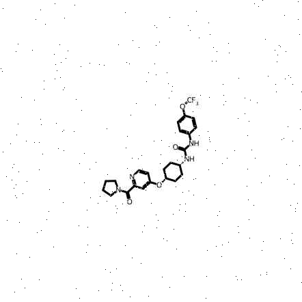 O=C(Nc1ccc(OC(F)(F)F)cc1)N[C@H]1CC[C@H](Oc2ccnc(C(=O)N3CCCC3)c2)CC1